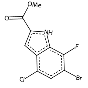 COC(=O)c1cc2c(Cl)cc(Br)c(F)c2[nH]1